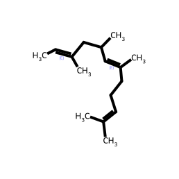 C/[C]=C(\C)CC(C)/C=C(\C)CCC=C(C)C